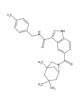 CC1(C)CC2CC(C)(CN2C(=O)c2ccc3[nH]cc(C(=O)NCc4ccc(C(F)(F)F)cc4)c3c2)C1